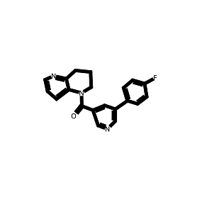 O=C(c1cncc(-c2ccc(F)cc2)c1)N1CCCc2ncccc21